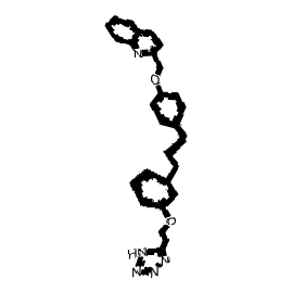 C(=Cc1ccc(OCc2ccc3ccccc3n2)cc1)Cc1cccc(OCCc2nnn[nH]2)c1